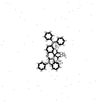 CC(C)C1(C(C)C)c2cc(N(c3ccccc3)c3ccccc3)ccc2N=C2N(c3ccccc3)c3ccccc3N21